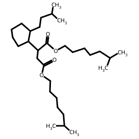 CC(C)CCCCCOC(=O)CC(C(=O)OCCCCCC(C)C)C1CCCCC1CCC(C)C